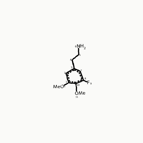 COc1cc(CCN)cc(F)c1OC